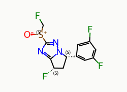 [O-][S@@+](CF)c1nc2n(n1)[C@H](c1cc(F)cc(F)c1)C[C@@H]2F